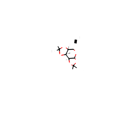 C#C[C@@H]1OC2OC(C)(C)O[C@H]2[C@@H]2OC(C)(C)O[C@@H]21